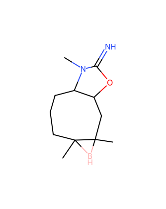 CN1C(=N)OC2CC3(C)BC3(C)CCCC21